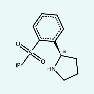 CC(C)S(=O)(=O)c1ccccc1[C@H]1CCCN1